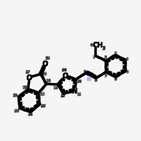 CCc1ccccc1/C=C/c1ncc(C2C(=O)Oc3ccccc32)o1